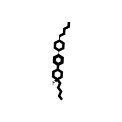 CCCCCC1(F)CCC(c2ccc([C@H]3CC[C@H](CCCCC)CC3)cc2)CC1